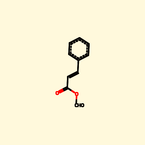 O=COC(=O)C=Cc1ccccc1